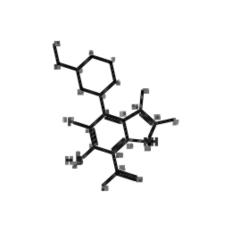 Bc1c(F)c(C2CCCC(CC)C2)c2c(C)c(C)[nH]c2c1C(=C)C